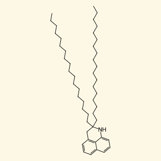 CCCCCCCCCCCCCCCCCCC1(CCCCCCCCCCCCCCCCCC)Cc2cccc3cccc(c23)N1